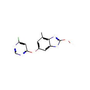 COc1nc2c(C)cc(Oc3cc(Cl)ncn3)cc2[nH]1